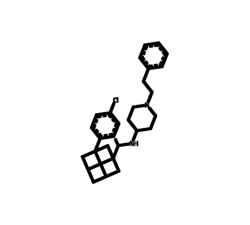 CC(NC1CCN(CCc2ccccc2)CC1)C12CC3CC4CC(c5ccc(Cl)cc5)(C1)C432